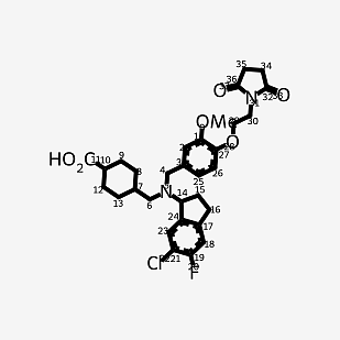 COc1cc(CN(CC2CCC(C(=O)O)CC2)C2CCc3cc(F)c(Cl)cc32)ccc1OCCN1C(=O)CCC1=O